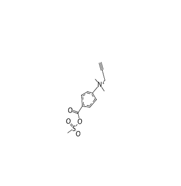 C#CC[N+](C)(C)c1ccc(C(=O)OS(C)(=O)=O)cc1